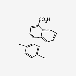 Cc1ccc(C)cc1.O=C(O)c1cccc2ccccc12